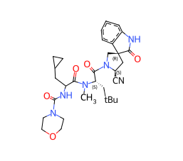 CN(C(=O)C(CC1CC1)NC(=O)N1CCOCC1)[C@@H](CC(C)(C)C)C(=O)N1C[C@]2(C[C@H]1C#N)C(=O)Nc1ccccc12